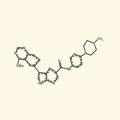 COc1ncnc2ccc(-c3c[nH]c4ncc(C(=O)Nc5ccc(N6CCN(C)CC6)nc5)cc34)cc12